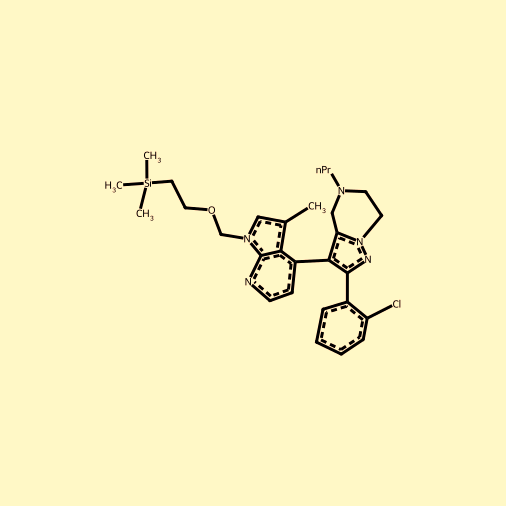 CCCN1CCn2nc(-c3ccccc3Cl)c(-c3ccnc4c3c(C)cn4COCC[Si](C)(C)C)c2C1